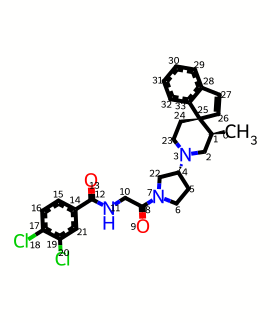 C[C@H]1CN([C@@H]2CCN(C(=O)CNC(=O)c3ccc(Cl)c(Cl)c3)C2)CC[C@@]12C=Cc1ccccc12